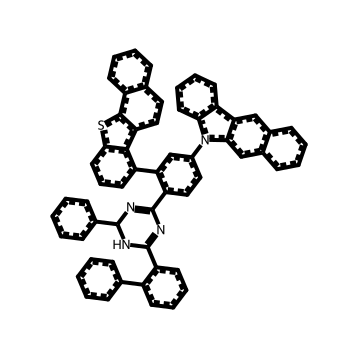 c1ccc(-c2ccccc2C2=NC(c3ccc(-n4c5ccccc5c5cc6ccccc6cc54)cc3-c3cccc4sc5c6ccccc6ccc5c34)=NC(c3ccccc3)N2)cc1